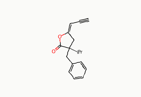 C#CC=C1CC(Cc2ccccc2)(C(C)C)C(=O)O1